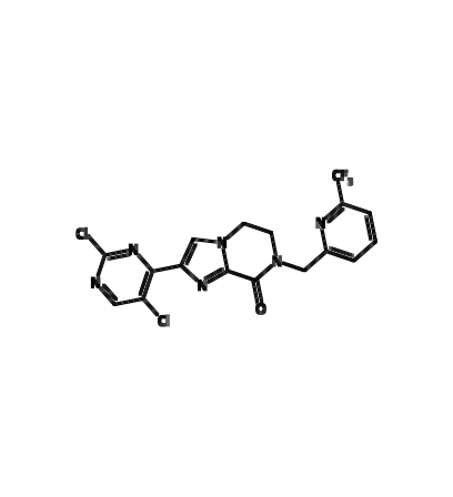 O=C1c2nc(-c3nc(Cl)ncc3Cl)cn2CCN1Cc1cccc(C(F)(F)F)n1